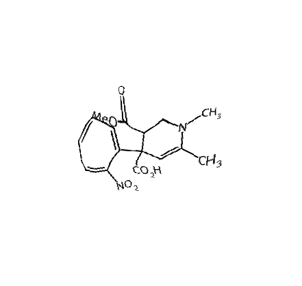 COC(=O)C1CN(C)C(C)=CC1(C(=O)O)c1ccccc1[N+](=O)[O-]